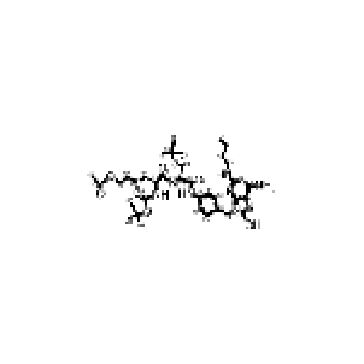 CCCCNc1nc(N)c2nc(O)n(Cc3ccc(NC(=O)[C@H](COC(C)(C)C)NC(=O)[C@H](CSCCOC(C)=O)NC(=O)OC(C)(C)C)cc3)c2n1